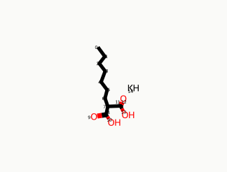 CCCCCCCC(C(=O)O)C(=O)O.[KH]